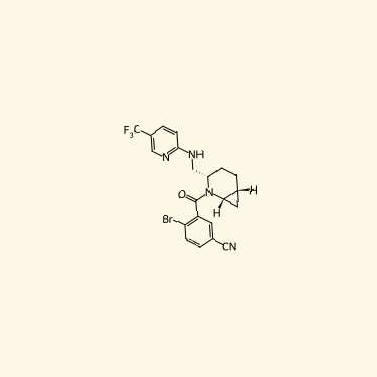 N#Cc1ccc(Br)c(C(=O)N2[C@H](CNc3ccc(C(F)(F)F)cn3)CC[C@@H]3C[C@@H]32)c1